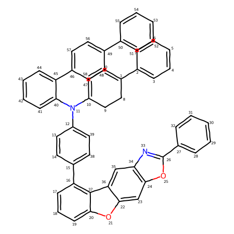 C1=C(c2ccccc2)CCC(N(c2ccc(-c3cccc4oc5cc6oc(-c7ccccc7)nc6cc5c34)cc2)c2ccccc2-c2ccc(-c3ccccc3)cc2)=C1